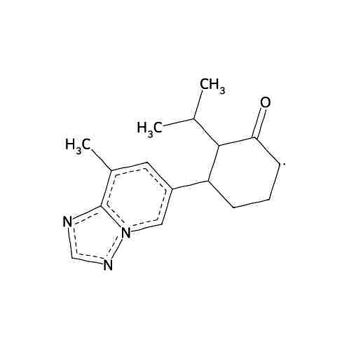 Cc1cc(C2CC[CH]C(=O)C2C(C)C)cn2ncnc12